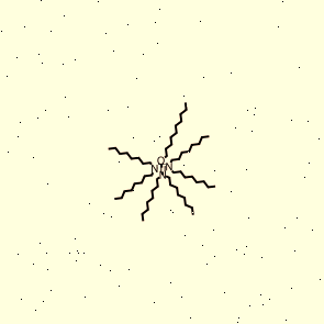 CCCCCCCCCC[O][Ti]([N](CCCCCCCC)CCCCCCCC)([N](CCCCCCCC)CCCCCCCC)[N](CCCCCCCC)CCCCCCCC